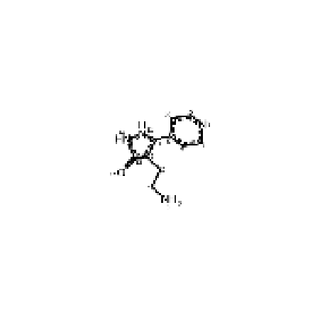 NCCc1c(-c2ccncc2)[nH][nH]c1=O